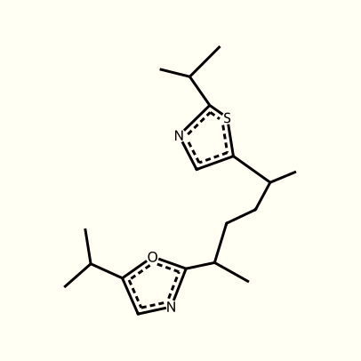 CC(C)c1cnc(C(C)CCC(C)c2cnc(C(C)C)s2)o1